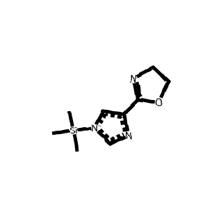 C[Si](C)(C)n1cnc(C2=NCCO2)c1